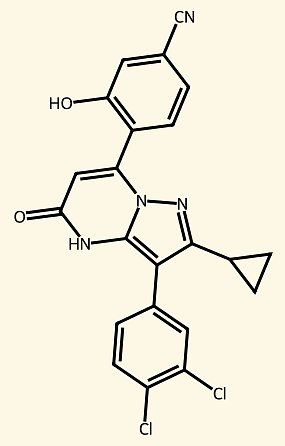 N#Cc1ccc(-c2cc(=O)[nH]c3c(-c4ccc(Cl)c(Cl)c4)c(C4CC4)nn23)c(O)c1